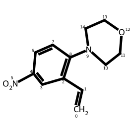 C=Cc1cc([N+](=O)[O-])ccc1N1CCOCC1